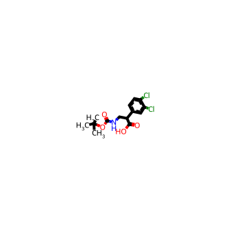 CC(C)(C)OC(=O)NCC(C(=O)O)c1ccc(Cl)c(Cl)c1